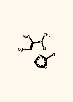 CCN(C)C(=C[N+](=O)[O-])NC.Clc1nccs1